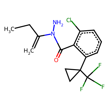 C=C(CC)N(N)C(=O)c1c(Cl)cccc1C1(C(F)(F)F)CC1